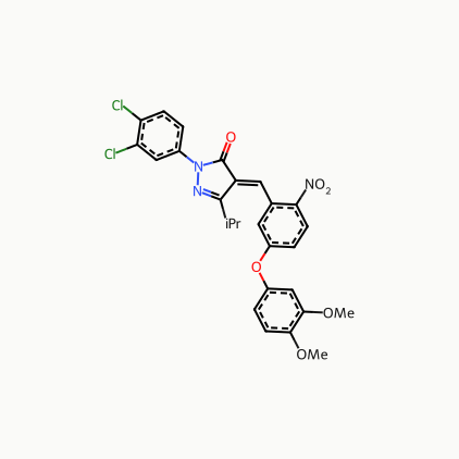 COc1ccc(Oc2ccc([N+](=O)[O-])c(/C=C3/C(=O)N(c4ccc(Cl)c(Cl)c4)N=C3C(C)C)c2)cc1OC